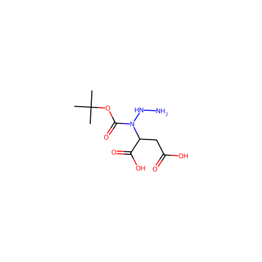 CC(C)(C)OC(=O)N(NN)C(CC(=O)O)C(=O)O